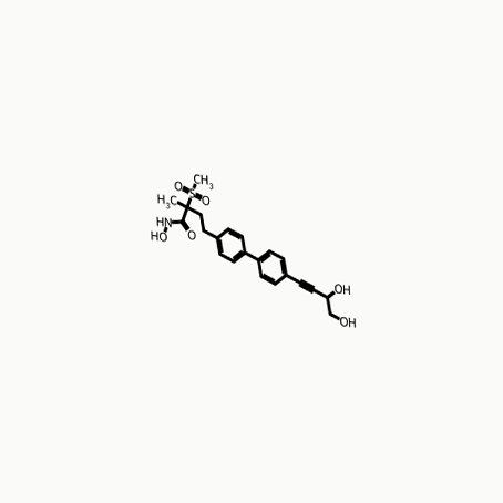 CC(CCc1ccc(-c2ccc(C#CC(O)CO)cc2)cc1)(C(=O)NO)S(C)(=O)=O